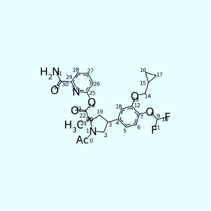 CC(=O)N1CC(c2ccc(OC(F)F)c(OCC3CC3)c2)C[C@]1(C)C(=O)Oc1cccc(C(N)=O)n1